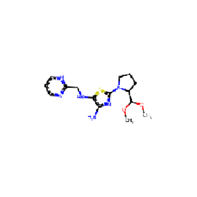 COC(OC)C1CCCN1c1nc(N)c(NCc2ncccn2)s1